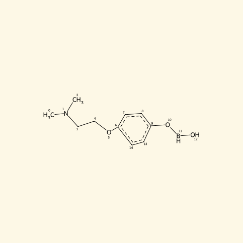 CN(C)CCOc1ccc(OBO)cc1